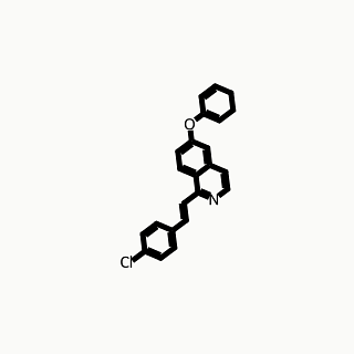 Clc1ccc(C=Cc2nccc3cc(OC4=CCCC=C4)ccc23)cc1